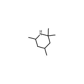 CC1CC(C)NC(C)(C)C1